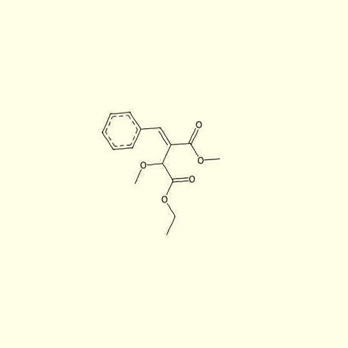 CCOC(=O)C(OC)/C(=C\c1ccccc1)C(=O)OC